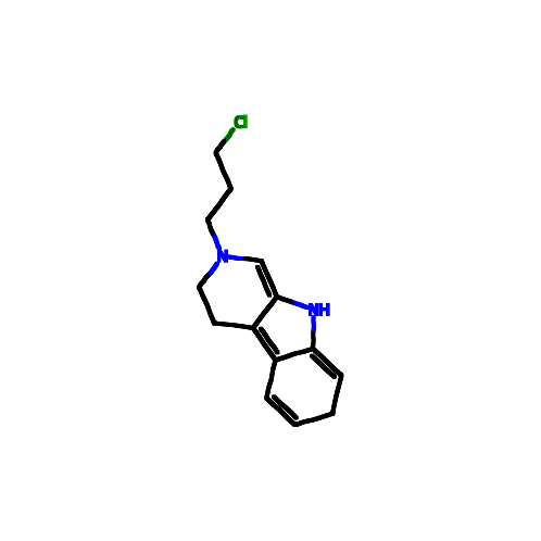 ClCCCN1C=c2[nH]c3c(c2CC1)C=CCC=3